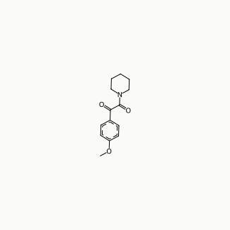 COc1ccc(C(=O)C(=O)N2CCCCC2)cc1